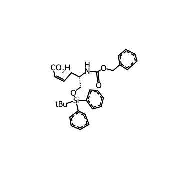 CC(C)(C)[Si](OC[C@H](C/C=C\C(=O)O)NC(=O)OCc1ccccc1)(c1ccccc1)c1ccccc1